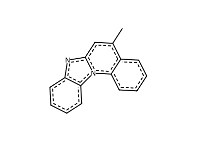 Cc1cc2nc3ccccc3n2c2ccccc12